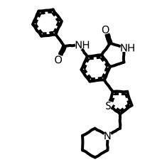 O=C(Nc1ccc(-c2ccc(CN3CCCCC3)s2)c2c1C(=O)NC2)c1ccccc1